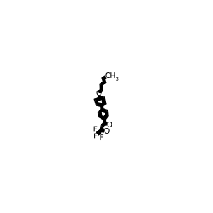 CCCCCOc1ccc(-c2ccc(C(=O)CC(=O)C(F)(F)F)cc2)cc1